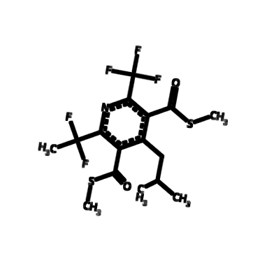 CSC(=O)c1c(C(C)(F)F)nc(C(F)(F)F)c(C(=O)SC)c1CC(C)C